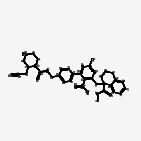 COC(=O)C1(Cc2nc(Cl)nc(-c3ccc(COC(=O)N4CCNCC4CC#N)cc3)c2[N+](=O)[O-])CCCc2ccccc21